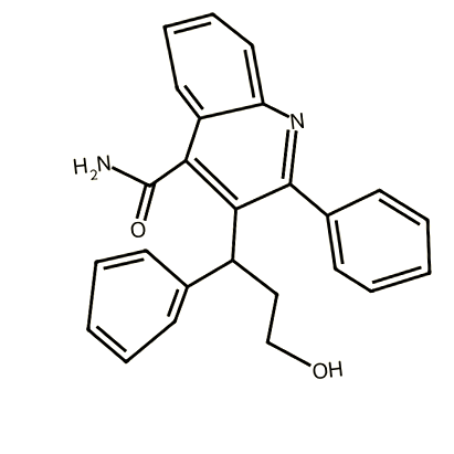 NC(=O)c1c(C(CCO)c2ccccc2)c(-c2ccccc2)nc2ccccc12